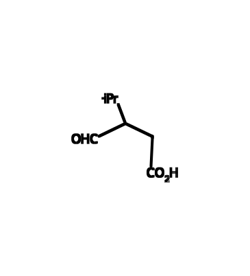 C[C](C)C(C=O)CC(=O)O